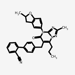 CCCc1c(Cc2ccc(-c3ccccc3C#N)cc2)c(=O)n(-c2ccc3c(c2)CC(C)O3)c2nc(C)nn12